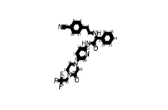 N#Cc1ccc(CCNC(C(=O)Nc2ccc(N3CCN(CC(F)(F)F)C(=O)C3)cn2)c2ccccc2)cc1